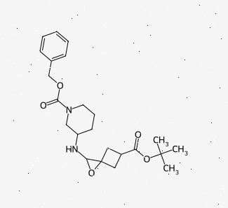 CC(C)(C)OC(=O)C1CC2(C1)OC2NC1CCCN(C(=O)OCc2ccccc2)C1